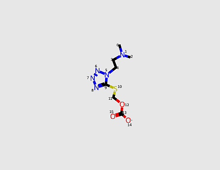 CN(C)CCn1nnnc1SCOC([O])=O